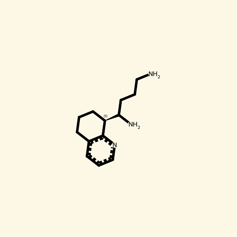 NCCCC(N)[C@@H]1CCCc2cccnc21